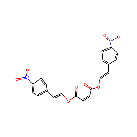 O=C(/C=C\C(=O)OC=Cc1ccc([N+](=O)[O-])cc1)OC=Cc1ccc([N+](=O)[O-])cc1